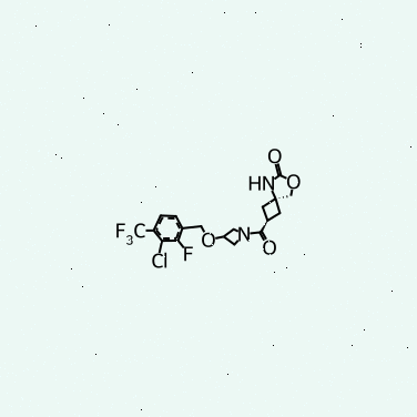 O=C1N[C@]2(CO1)C[C@H](C(=O)N1CC(OCc3ccc(C(F)(F)F)c(Cl)c3F)C1)C2